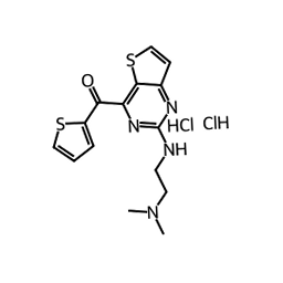 CN(C)CCNc1nc(C(=O)c2cccs2)c2sccc2n1.Cl.Cl